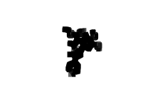 CCOC(=O)C1c2c(cc(OC)c(OC)c2Cl)-c2cc(-c3ccncc3)c(C)n2C1C